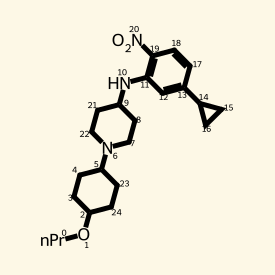 CCCOC1CCC(N2CCC(Nc3cc(C4CC4)ccc3[N+](=O)[O-])CC2)CC1